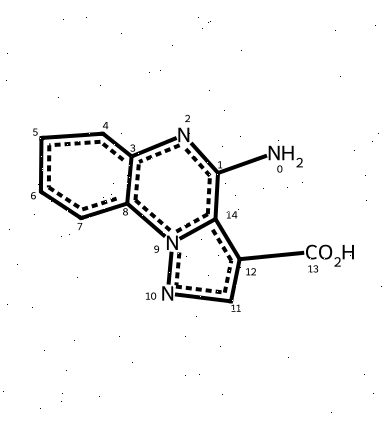 Nc1nc2ccccc2n2ncc(C(=O)O)c12